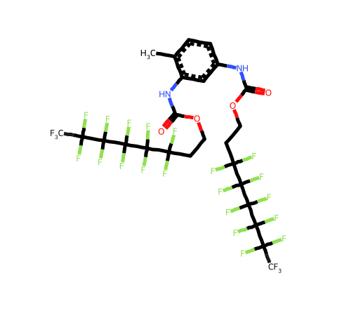 Cc1ccc(NC(=O)OCCC(F)(F)C(F)(F)C(F)(F)C(F)(F)C(F)(F)C(F)(F)F)cc1NC(=O)OCCC(F)(F)C(F)(F)C(F)(F)C(F)(F)C(F)(F)C(F)(F)F